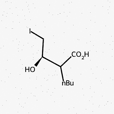 CCCCC(C(=O)O)[C@@H](O)CI